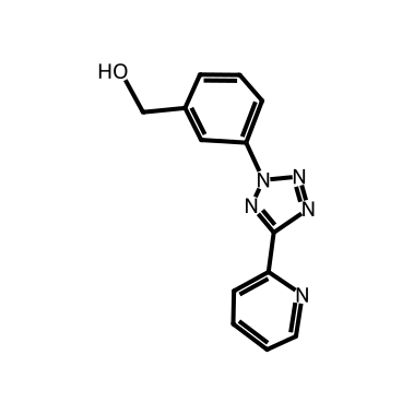 OCc1cccc(-n2nnc(-c3ccccn3)n2)c1